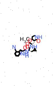 COC(=O)[C@H](C[C@@H]1CCCNC1=O)NC(=O)[C@H](CC1CC1)NC(=O)c1cc2c(C#N)cccc2[nH]1